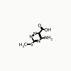 CSc1nnc(C(=O)O)c(N)n1